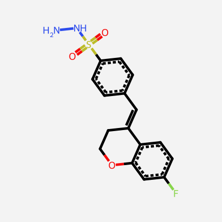 NNS(=O)(=O)c1ccc(C=C2CCOc3cc(F)ccc32)cc1